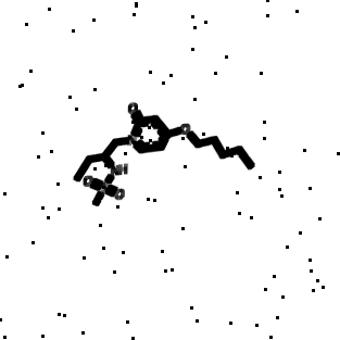 CCCCCOc1ccn(CC(CC)NS(C)(=O)=O)c(=O)c1